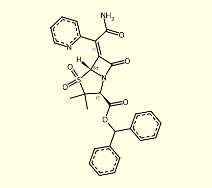 CC1(C)[C@H](C(=O)OC(c2ccccc2)c2ccccc2)N2C(=O)/C(=C(\C(N)=O)c3ccccn3)[C@H]2S1(=O)=O